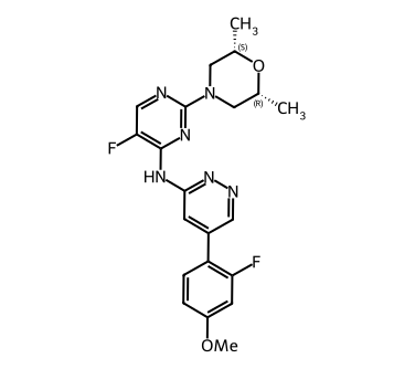 COc1ccc(-c2cnnc(Nc3nc(N4C[C@@H](C)O[C@@H](C)C4)ncc3F)c2)c(F)c1